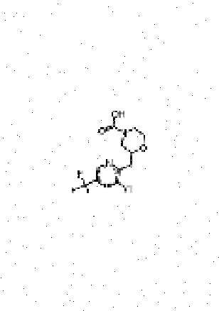 O=C(O)N1CCOC(Cc2ncc(C(F)(F)F)cc2Cl)C1